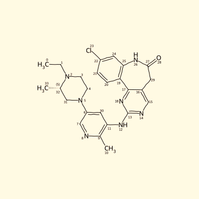 CCN1CCN(c2cnc(C)c(Nc3ncc4c(n3)-c3ccc(Cl)cc3NC(=O)C4)c2)C[C@@H]1C